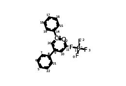 F[B-](F)(F)F.c1ccc(-c2cco[c+](-c3ccccc3)c2)cc1